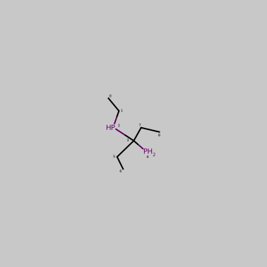 CCPC(P)(CC)CC